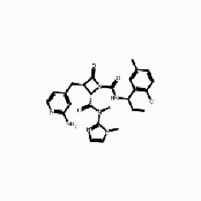 CCC(NC(=O)N1C(=O)[C@H](Cc2ccnc(N)c2)[C@H]1C(=O)N(C)c1nccn1C)c1cc(C)ccc1Cl